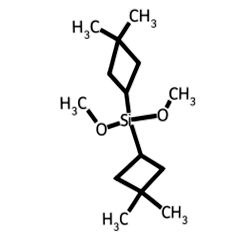 CO[Si](OC)(C1CC(C)(C)C1)C1CC(C)(C)C1